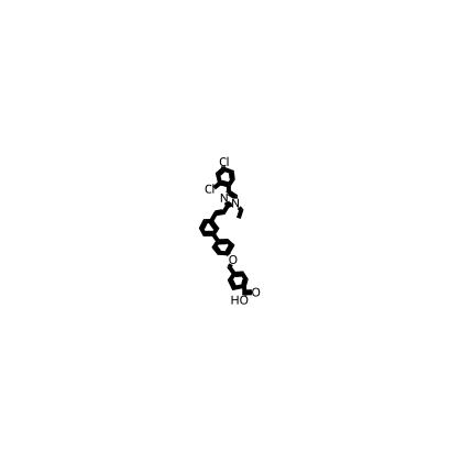 CCn1cc(-c2ccc(Cl)cc2Cl)nc1C=Cc1cccc(-c2ccc(OCc3ccc(C(=O)O)cc3)cc2)c1